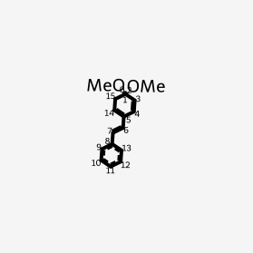 COC1(OC)C=CC(C=Cc2ccccc2)=CC1